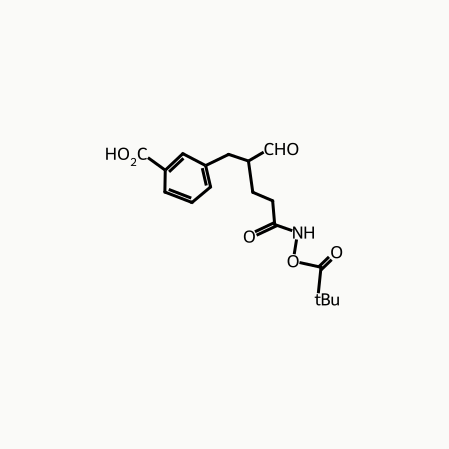 CC(C)(C)C(=O)ONC(=O)CCC(C=O)Cc1cccc(C(=O)O)c1